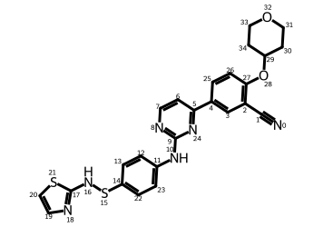 N#Cc1cc(-c2ccnc(Nc3ccc(SNc4nccs4)cc3)n2)ccc1OC1CCOCC1